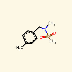 [CH2]c1ccc(CN(C)S(C)(=O)=O)cc1